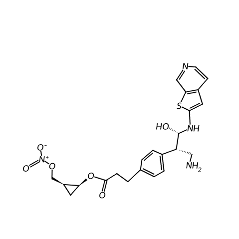 NC[C@H](c1ccc(CCC(=O)O[C@H]2C[C@H]2CO[N+](=O)[O-])cc1)[C@H](O)Nc1cc2ccncc2s1